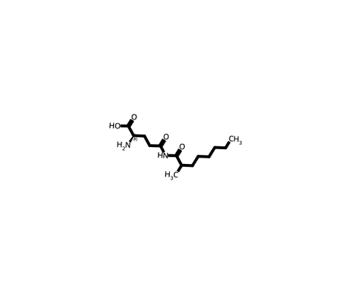 CCCCCCC(C)C(=O)NC(=O)CC[C@@H](N)C(=O)O